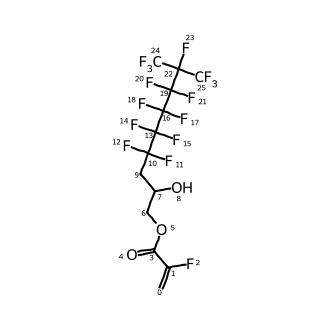 C=C(F)C(=O)OCC(O)CC(F)(F)C(F)(F)C(F)(F)C(F)(F)C(F)(C(F)(F)F)C(F)(F)F